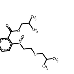 CC(C)COCC[PH](=O)c1ccccc1C(=O)OCC(C)C